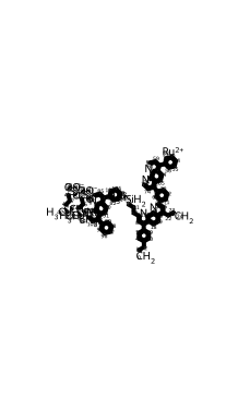 C=CCc1ccc(-c2cc(CCC[SiH2]C)nc3c2ccc2c(CC=C)ccnc23)cc1.C[Si](C)(C)CCCS(=O)(=O)[O-].C[Si](C)(C)CCCS(=O)(=O)[O-].[Ru+2].c1ccc(-c2ccnc3c2ccc2c(-c4ccccc4)ccnc23)cc1.c1ccc(-c2ccnc3c2ccc2c(-c4ccccc4)ccnc23)cc1